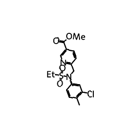 CCS(=O)(=O)N(Cc1ccc(C(=O)OC)cn1)c1ccc(C)c(Cl)c1